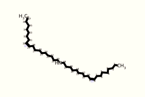 CCCCCCCC/C=C\CCCCCCCCCNCCCCCCCCC/C=C\CCCCCCCC